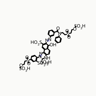 O=C(c1cccc(/N=N/c2c(S(=O)(=O)O)cc3c(/N=N/c4ccc(S(=O)(=O)CCOS(=O)(=O)O)cc4S(=O)(=O)O)c(NCS(=O)(=O)O)ccc3c2O)c1)N(CCS(=O)(=O)CCOS(=O)(=O)O)c1ccccc1